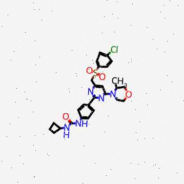 CC1COCCN1c1cc(CS(=O)(=O)c2ccc(Cl)cc2)nc(-c2ccc(NC(=O)NC3CCC3)cc2)n1